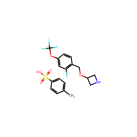 Cc1ccc(S(=O)(=O)O)cc1.Fc1cc(OC(F)(F)F)ccc1COC1CNC1